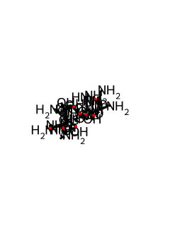 CN[C@@H](CCCCN)C(=O)N[C@@H](CCCCN)C(=O)N[C@@H](CC(C)C)C(=O)N[C@@H](CCCNC(=N)N)C(=O)N[C@@H](CO)C(=O)N[C@@H](CCSC)C(=O)N[C@@H](C)C(=O)N[C@@H](CC(=O)O)C(=O)N[C@@H](CCCCN)C(=O)N[C@@H](Cc1ccc(O)cc1)C(=O)NC(CCCNC(=N)N)C(=O)N[C@@H](CC(C)C)C(N)=O